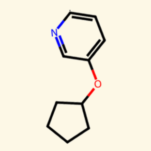 [c]1ccc(OC2CCCC2)cn1